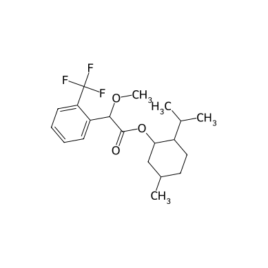 COC(C(=O)OC1CC(C)CCC1C(C)C)c1ccccc1C(F)(F)F